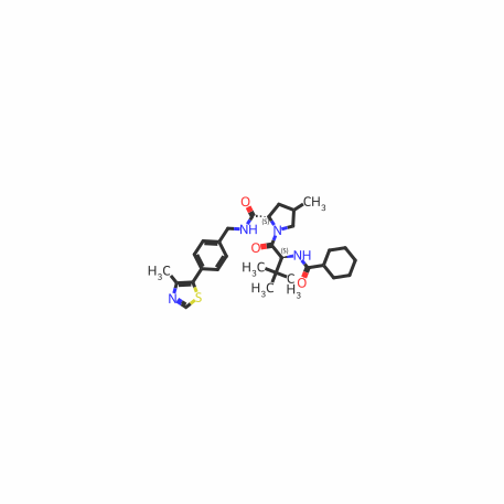 Cc1ncsc1-c1ccc(CNC(=O)[C@@H]2CC(C)CN2C(=O)[C@@H](NC(=O)C2CCCCC2)C(C)(C)C)cc1